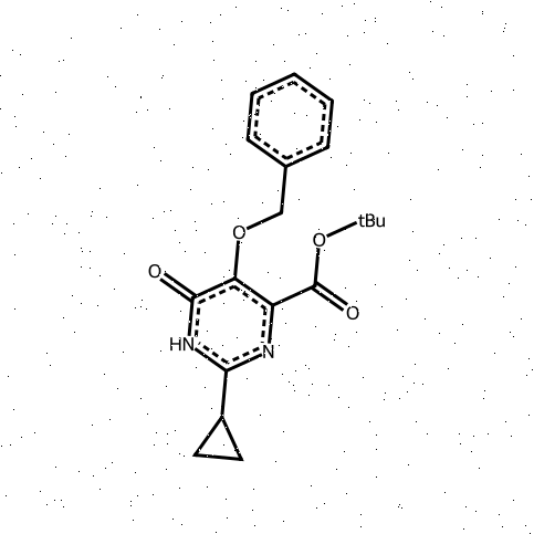 CC(C)(C)OC(=O)c1nc(C2CC2)[nH]c(=O)c1OCc1ccccc1